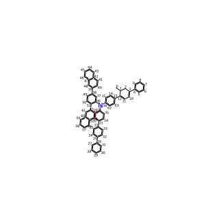 CC1CC(c2ccccc2)=CC=C1c1ccc(N(c2ccc(-c3ccc(-c4ccccc4)cc3)cc2)c2cc(-c3ccc4ccccc4c3)ccc2-c2ccc3ccccc3c2)cc1